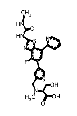 CCNC(=O)Nc1nc2c(F)c(-c3csc(CN(C)C(CO)C(=O)O)c3)cc(-c3ccccn3)c2s1